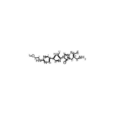 COCCNc1ncc(-c2cnc(-n3cnn(CC(CN)=C(F)F)c3=O)c(C)c2)cn1